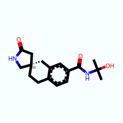 CC(C)(O)NC(=O)c1ccc2c(c1)C[C@]1(CC2)CNC(=O)C1